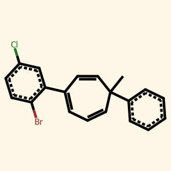 CC1(c2ccccc2)C=CC=C(c2cc(Cl)ccc2Br)C=C1